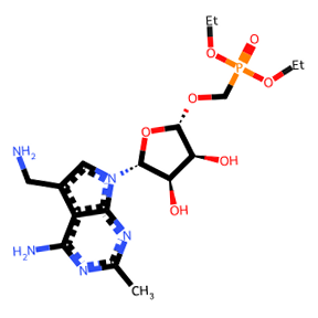 CCOP(=O)(CO[C@H]1O[C@@H](n2cc(CN)c3c(N)nc(C)nc32)[C@H](O)[C@@H]1O)OCC